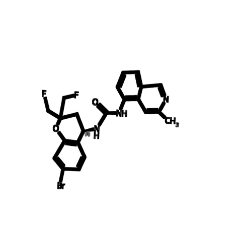 Cc1cc2c(NC(=O)N[C@@H]3CC(CF)(CF)Oc4cc(Br)ccc43)cccc2cn1